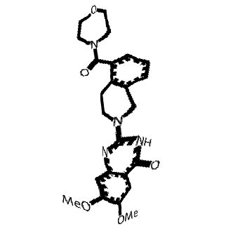 COc1cc2nc(N3CCc4c(cccc4C(=O)N4CCOCC4)C3)[nH]c(=O)c2cc1OC